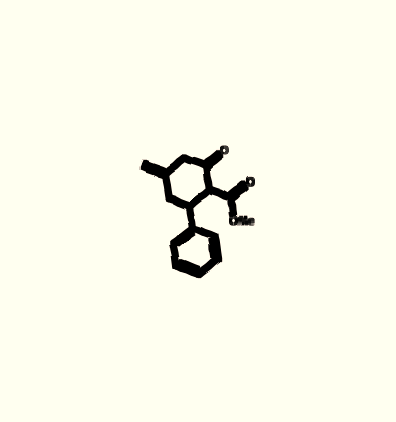 C=C1CC(=O)C(C(=O)OC)C(c2ccccc2)C1